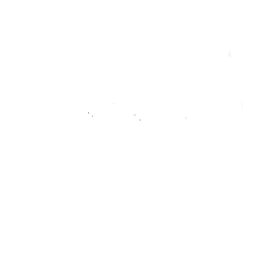 Cc1cccc(C)c1Oc1ccn([C@@H]2O[C@H](CO)[C@H](O)C2(C)F)c(=S)n1